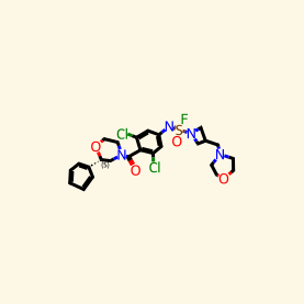 O=C(c1c(Cl)cc(N=S(=O)(F)N2CC(CN3CCOCC3)C2)cc1Cl)N1CCO[C@@H](c2ccccc2)C1